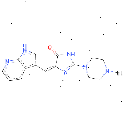 CCN1CCN(C2=NC(=Cc3c[nH]c4ncccc34)C(=O)N2)CC1